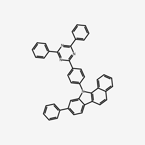 c1ccc(-c2ccc3c4ccc5ccccc5c4n(-c4ccc(-c5nc(-c6ccccc6)nc(-c6ccccc6)n5)cc4)c3c2)cc1